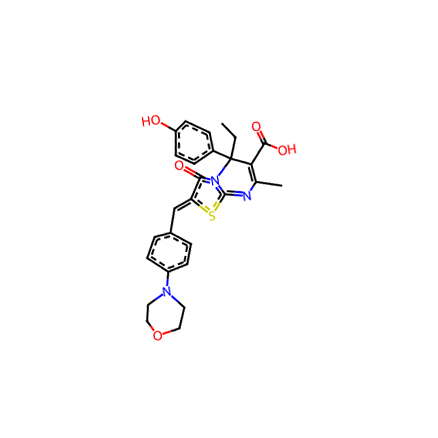 CCC1(c2ccc(O)cc2)C(C(=O)O)=C(C)N=c2s/c(=C\c3ccc(N4CCOCC4)cc3)c(=O)n21